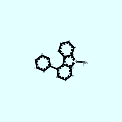 CC(C)(C)n1c2ccccc2c2c(-c3ccccc3)cccc21